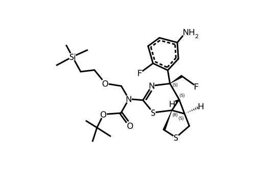 CC(C)(C)OC(=O)N(COCC[Si](C)(C)C)C1=N[C@](CF)(c2cc(N)ccc2F)[C@@H]2[C@H]3CSC[C@]32S1